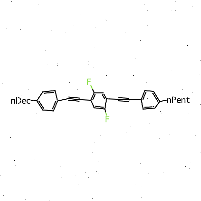 CCCCCCCCCCc1ccc(C#Cc2cc(F)c(C#Cc3ccc(CCCCC)cc3)cc2F)cc1